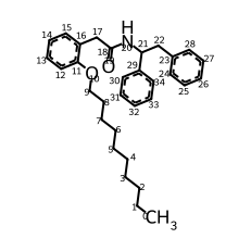 CCCCCCCCCCOc1ccccc1CC(=O)NC(Cc1ccccc1)c1ccccc1